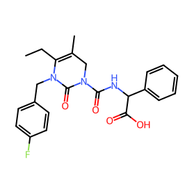 CCC1=C(C)CN(C(=O)NC(C(=O)O)c2ccccc2)C(=O)N1Cc1ccc(F)cc1